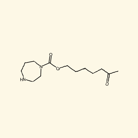 CC(=O)CCCCCOC(=O)N1CCCNCC1